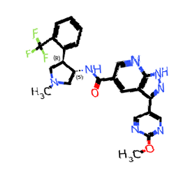 COc1ncc(-c2n[nH]c3ncc(C(=O)N[C@@H]4CN(C)C[C@H]4c4ccccc4C(F)(F)F)cc23)cn1